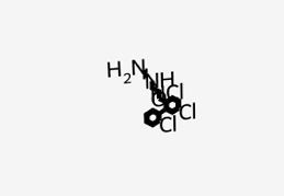 Cl.NCCNCCOc1ccc(Cl)cc1-c1ccccc1Cl